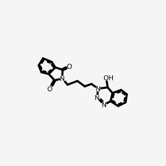 O=C1c2ccccc2C(=O)N1CCCCN1N=Nc2ccccc2C1O